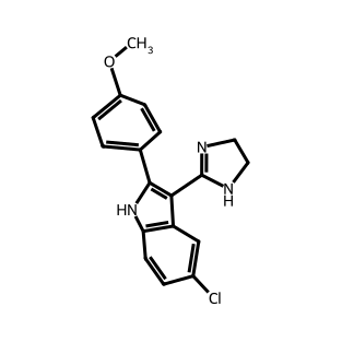 COc1ccc(-c2[nH]c3ccc(Cl)cc3c2C2=NCCN2)cc1